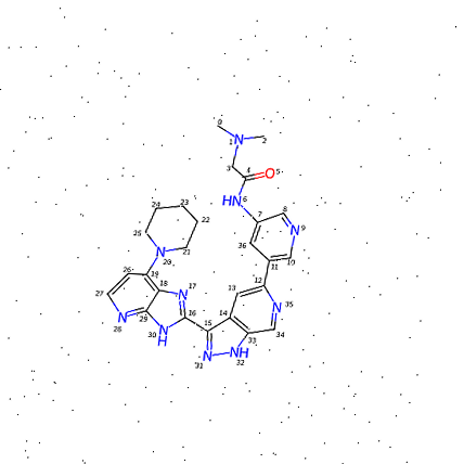 CN(C)CC(=O)Nc1cncc(-c2cc3c(-c4nc5c(N6CCCCC6)ccnc5[nH]4)n[nH]c3cn2)c1